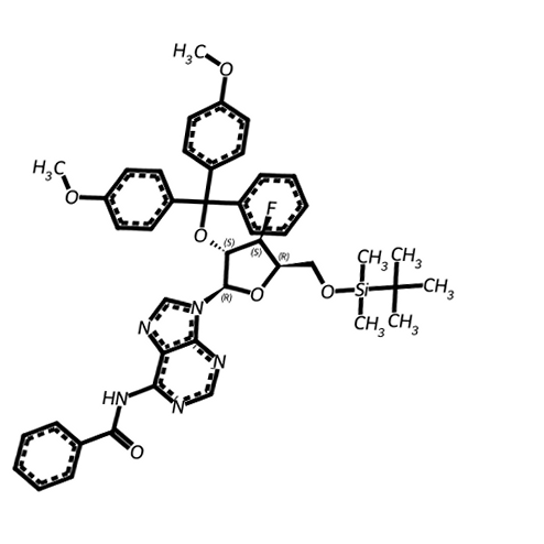 COc1ccc(C(O[C@@H]2[C@@H](F)[C@@H](CO[Si](C)(C)C(C)(C)C)O[C@H]2n2cnc3c(NC(=O)c4ccccc4)ncnc32)(c2ccccc2)c2ccc(OC)cc2)cc1